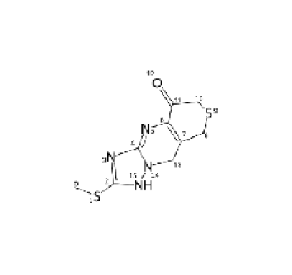 CSC1=NC2=NC3=C(CSCC3=O)CN2N1